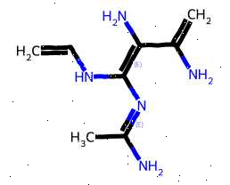 C=CNC(/N=C(\C)N)=C(\N)C(=C)N